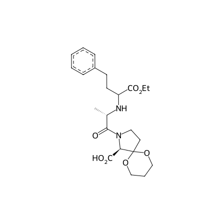 CCOC(=O)C(CCc1ccccc1)N[C@@H](C)C(=O)N1CCC2(OCCCO2)[C@H]1C(=O)O